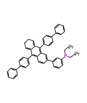 CC(C)CP(CC(C)C)c1cccc(-c2ccc3c(-c4ccc(-c5ccccc5)cc4)c4c(c(-c5ccc(-c6ccccc6)cc5)c3c2)=CCCC=4)c1